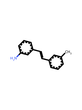 Cc1cccc(C=Cc2cccc(N)c2)c1